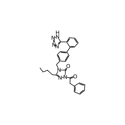 CCCCc1nn(C(=O)Cc2ccccc2)c(=O)n1Cc1ccc(-c2ccccc2-c2nnn[nH]2)cc1